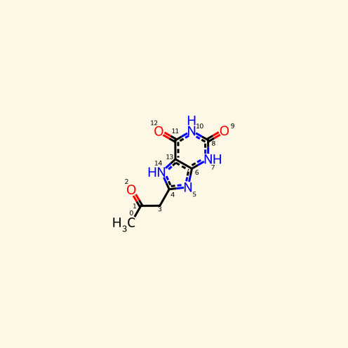 CC(=O)Cc1nc2[nH]c(=O)[nH]c(=O)c2[nH]1